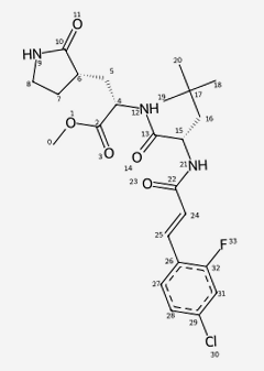 COC(=O)[C@H](C[C@@H]1CCNC1=O)NC(=O)[C@H](CC(C)(C)C)NC(=O)/C=C/c1ccc(Cl)cc1F